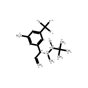 C=C[C@H](c1cc(C)cc(C(F)(F)F)c1)N(C)[S@@+]([O-])C(C)(C)C